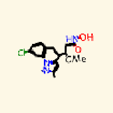 COC(CC(=O)NO)C(Cc1ccc(Cl)cc1)c1cc(C)n(C)n1